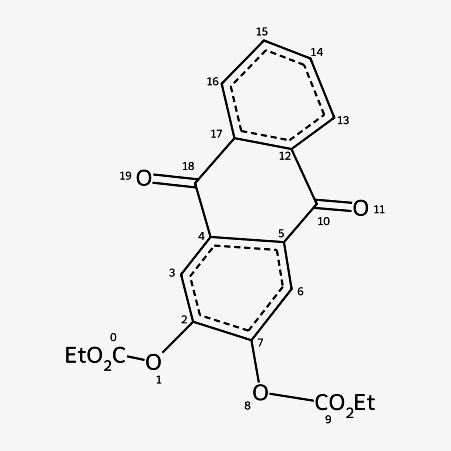 CCOC(=O)Oc1cc2c(cc1OC(=O)OCC)C(=O)c1ccccc1C2=O